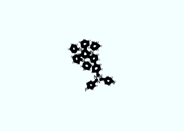 Fc1ccc(-c2nc(-c3ccc(F)cc3)nc(-c3ccc(-c4ccc5c(c4)c4c6c(c7ccccc7n6-c6ccccc6)c6c(c7ccccc7n6-c6ccccc6)c4n5-c4ccccc4)cc3)n2)cc1